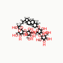 C[C@H](CC[C@@H](O[C@@H]1O[C@H](CO)[C@@H](O)[C@H](O)[C@H]1OC1O[C@@H](CO)[C@H](O)[C@@H](O)[C@@H]1O)C(C)(C)O)C1CC[C@@]2(C)C3CC=C4C(CC[C@H](O[C@@H]5O[C@H](CO)[C@@H](O[C@@H]6O[C@H](CO)[C@@H](O)[C@H](O)[C@H]6O)[C@H](O)[C@H]5O)C4(C)C)[C@]3(C)C=C[C@]12C